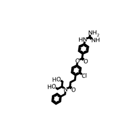 N=C(N)Nc1ccc(C(=O)Oc2ccc(CCC(=O)N(Cc3ccccc3)C(CO)CO)c(Cl)c2)cc1